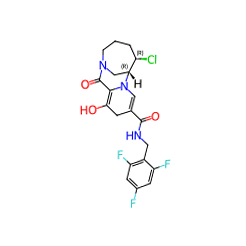 O=C(NCc1c(F)cc(F)cc1F)C1=CN2C(=C(O)C1)C(=O)N1CCC[C@@H](Cl)[C@H]2C1